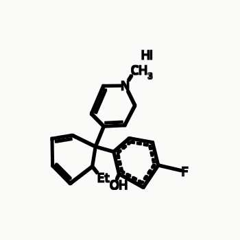 CCC1C=CC=CC1(C1=CCN(C)C=C1)c1ccc(F)cc1O.I